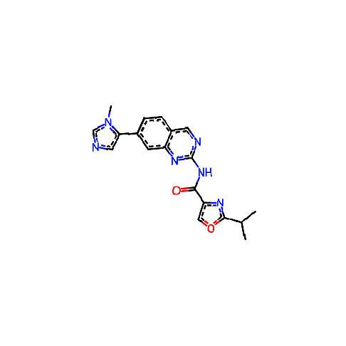 CC(C)c1nc(C(=O)Nc2ncc3ccc(-c4cncn4C)cc3n2)co1